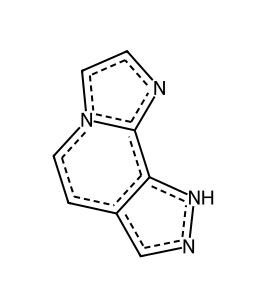 c1cn2ccc3cn[nH]c3c2n1